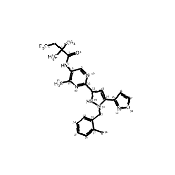 CC(C)(CC(F)(F)F)C(=O)Nc1cnc(C2C=C(c3ccon3)N(Cc3ccccc3F)N2)nc1N